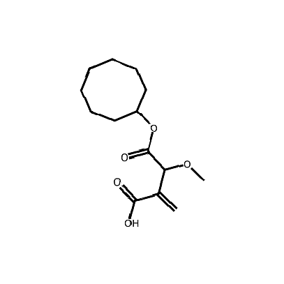 C=C(C(=O)O)C(OC)C(=O)OC1CCCCCCC1